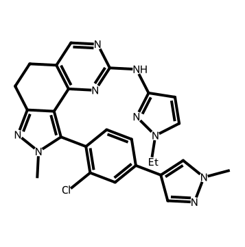 CCn1ccc(Nc2ncc3c(n2)-c2c(nn(C)c2-c2ccc(-c4cnn(C)c4)cc2Cl)CC3)n1